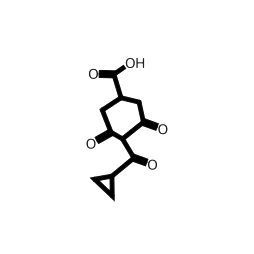 O=C(O)C1CC(=O)C(C(=O)C2CC2)C(=O)C1